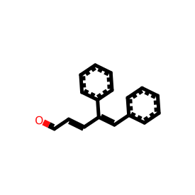 O=CC=CC(=Cc1ccccc1)c1ccccc1